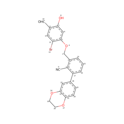 N#Cc1c(COc2cc(O)c(C=O)cc2Br)cccc1-c1ccc2c(c1)OCCO2